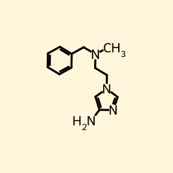 CN(CCn1cnc(N)c1)Cc1ccccc1